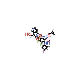 Cc1cc(I)ccc1Nc1c(C(=O)NOCC2CC2)cc(S(=O)(=O)N(CCCO)Cc2ccncc2)c(F)c1F